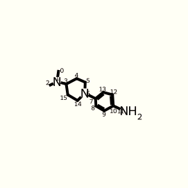 CN(C)C1CCN(c2ccc(N)cc2)CC1